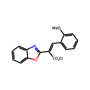 CCOC(=O)C(=Cc1ccccc1OC)c1nc2ccccc2o1